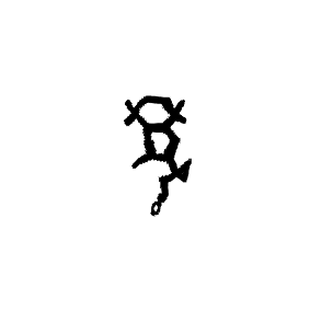 Cc1cc2c(cc1C1(CC=O)CC1)C(C)(C)CCC2(C)C